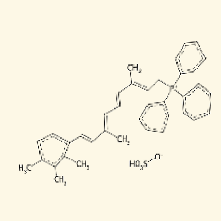 CC(C=Cc1ccc(C)c(C)c1C)=CC=CC(C)=CC[P+](c1ccccc1)(c1ccccc1)c1ccccc1.O=S(=O)([O-])O